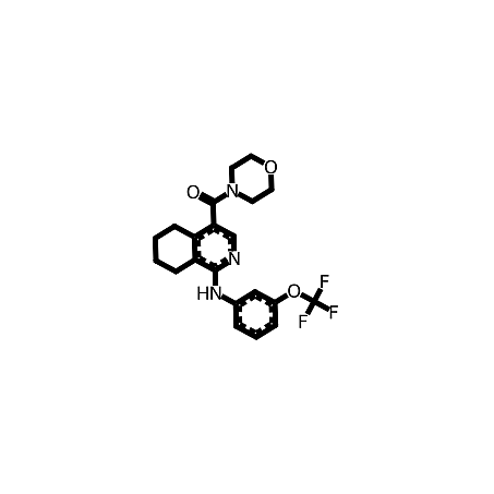 O=C(c1cnc(Nc2cccc(OC(F)(F)F)c2)c2c1CCCC2)N1CCOCC1